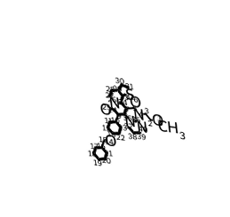 COCCN(C(=O)c1cc(-c2ccc(OCc3ccccc3)cc2)c(=O)n2ccc3ccsc3c12)c1ncccn1